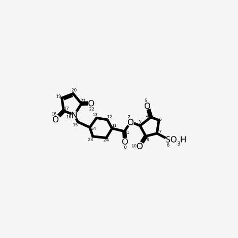 O=C(OC1C(=O)CC(S(=O)(=O)O)C1=O)C1CCC(CN2C(=O)C=CC2=O)CC1